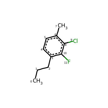 CCCc1ccc(C)c(Cl)c1F